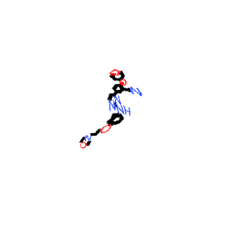 N#Cc1cc(-c2ccnc(Nc3ccc(OCCCN4CCOCC4)cc3)n2)ccc1OC1CCOCC1